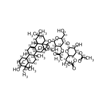 CC(=O)O[C@@H]1C(CO)O[C@H](O[C@H]2C(CO)O[C@H](OC(=O)[C@]34CCC(C)(C)C[C@H]3C3=CC[C@@H]5[C@@]6(C)CC[C@H](O)C(C)(C)[C@@H]6CC[C@@]5(C)[C@]3(C)CC4O)C(O)[C@@H]2OC(C)=O)C(O)[C@@H]1OC(C)=O